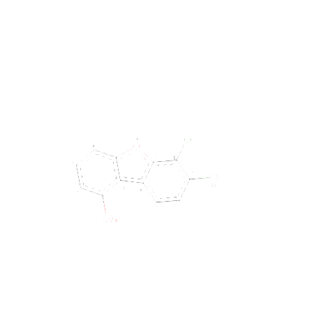 Oc1cccc2oc3c(Cl)c(Cl)ccc3c12